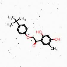 Cc1cc(C(=O)COc2ccc(C(C)(C)C)cc2)c(O)cc1O